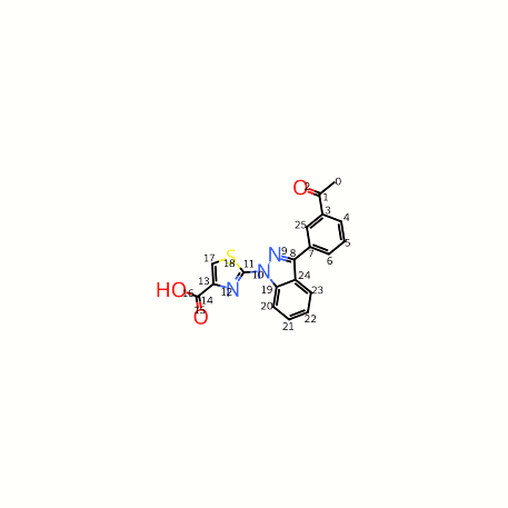 CC(=O)c1cccc(-c2nn(-c3nc(C(=O)O)cs3)c3ccccc23)c1